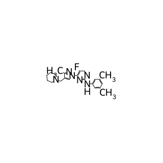 Cc1cc(C)cc(Nc2ncc(F)c(-n3cc(CN4CCCCC4)c(C)n3)n2)c1